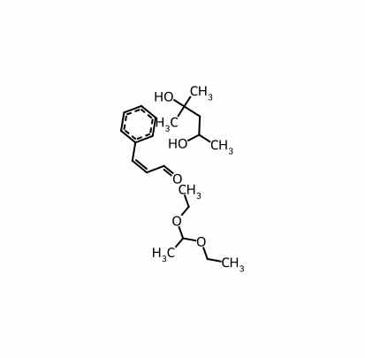 CC(O)CC(C)(C)O.CCOC(C)OCC.O=C/C=C\c1ccccc1